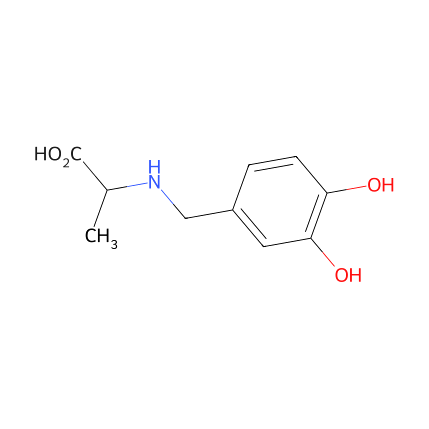 CC(NCc1ccc(O)c(O)c1)C(=O)O